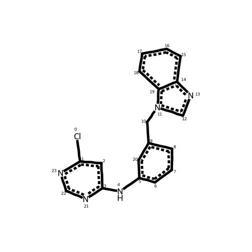 Clc1cc(Nc2cccc(Cn3cnc4ccccc43)c2)ncn1